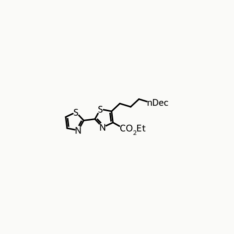 CCCCCCCCCCCCCc1sc(-c2nccs2)nc1C(=O)OCC